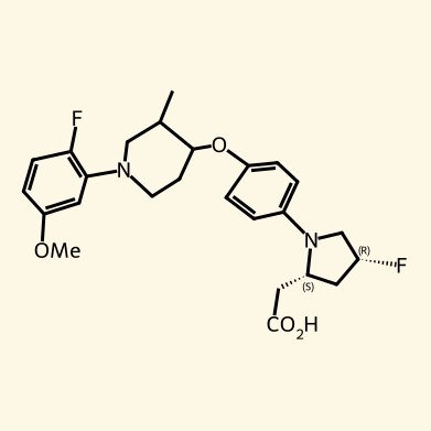 COc1ccc(F)c(N2CCC(Oc3ccc(N4C[C@H](F)C[C@@H]4CC(=O)O)cc3)C(C)C2)c1